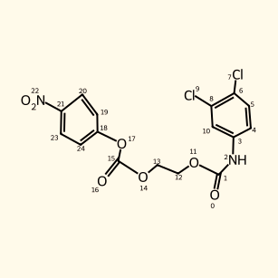 O=C(Nc1ccc(Cl)c(Cl)c1)OCCOC(=O)Oc1ccc([N+](=O)[O-])cc1